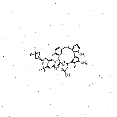 Cc1cc2cc(c1F)[C@@H](CC(=O)O)NC(=O)[C@H](n1cc(CCN3CC(F)(F)C3)c(C(F)(F)F)cc1=O)c1cc(ccc1F)COc1cccc(C)c1-2